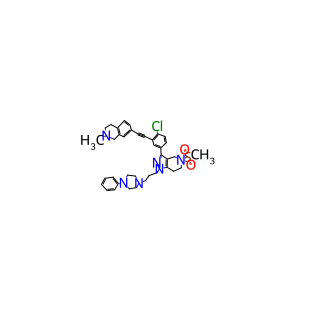 CN1CCc2ccc(C#Cc3cc(-c4nn(CCCN5CCN(c6ccccc6)CC5)c5c4CN(S(C)(=O)=O)CC5)ccc3Cl)cc2C1